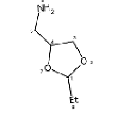 CCC1OCC(CN)O1